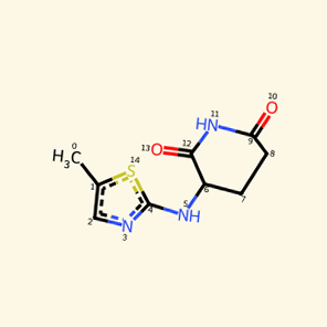 Cc1cnc(NC2CCC(=O)NC2=O)s1